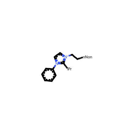 CCCCCCCCCCC[n+]1ccn(-c2ccccc2)c1C(C)C